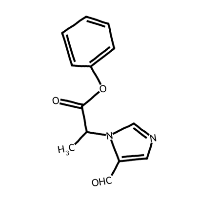 CC(C(=O)Oc1ccccc1)n1cncc1C=O